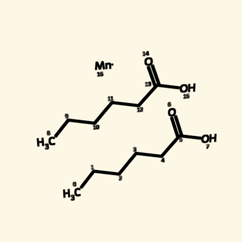 CCCCCC(=O)O.CCCCCC(=O)O.[Mn]